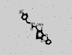 COc1ccc(C(OC)C(=O)NCc2ccc(C#N)cc2)c(F)c1Oc1ccccc1